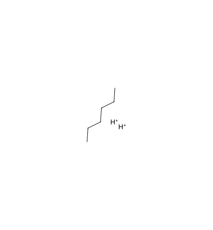 CCCCCC.[H+].[H+]